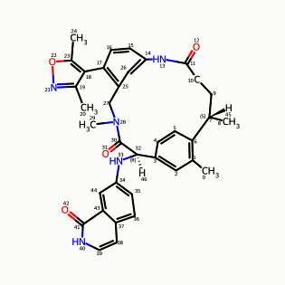 Cc1cc2ccc1[C@@H](C)CCC(=O)Nc1ccc(-c3c(C)noc3C)c(c1)CN(C)C(=O)[C@@H]2Nc1ccc2cc[nH]c(=O)c2c1